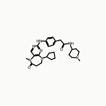 CN1CCC(NC(=O)Cc2ccc(Nc3ncc4c(n3)N(C3CCCC3)CCC(=O)N4C)cc2)CC1